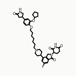 O=C1CC(c2ccc(OCCCCCCCN3CCC(c4cc(F)cc5c4CN(C4CCC(=O)NC4=O)C5=O)CC3)c(OC3CCCC3)c2)CN1